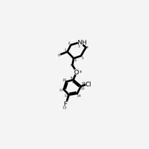 CC1CNCCC1COc1ccc(F)cc1Cl